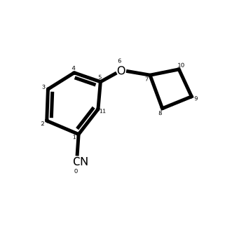 N#Cc1cccc(OC2CCC2)c1